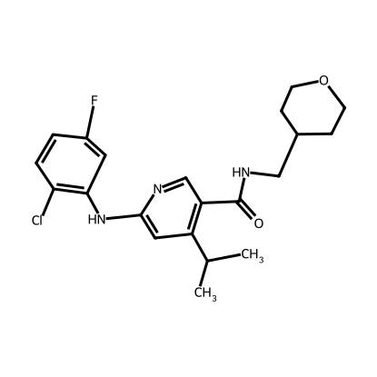 CC(C)c1cc(Nc2cc(F)ccc2Cl)ncc1C(=O)NCC1CCOCC1